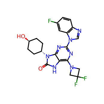 O=c1[nH]c2c(N3CC(F)(F)C3)nc(-n3cnc4ccc(F)cc43)nc2n1[C@H]1CC[C@H](O)CC1